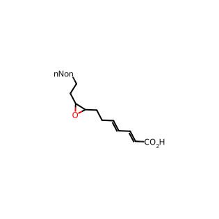 CCCCCCCCCCCC1OC1CCC=CC=CC(=O)O